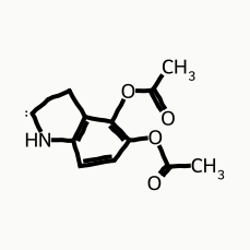 CC(=O)Oc1ccc2c(c1OC(C)=O)CC[C]N2